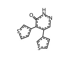 O=c1[nH]ncc(-c2ccsc2)c1-c1ccsc1